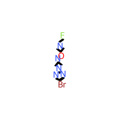 FCCN1CC(ON=C2CN(c3ncc(Br)cn3)C2)C1